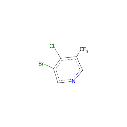 FC(F)(F)c1cncc(Br)c1Cl